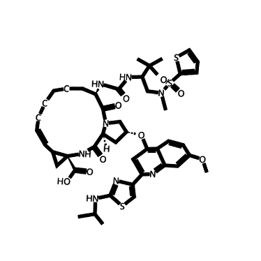 COc1ccc2c(O[C@@H]3C[C@H]4C(=O)N[C@]5(C(=O)O)CC5/C=C\CCCCC[C@H](NC(=O)NC(CN(C)S(=O)(=O)c5cccs5)C(C)(C)C)C(=O)N4C3)cc(-c3csc(NC(C)C)n3)nc2c1